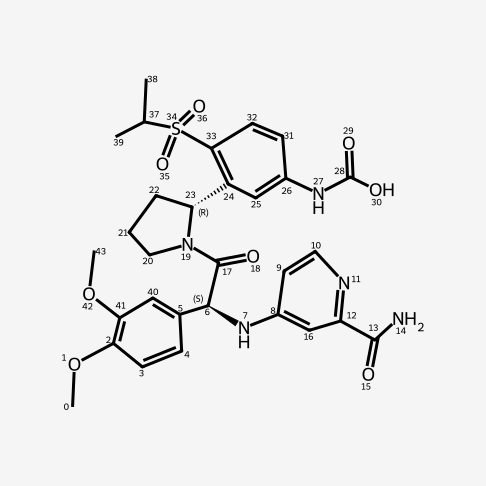 COc1ccc([C@H](Nc2ccnc(C(N)=O)c2)C(=O)N2CCC[C@@H]2c2cc(NC(=O)O)ccc2S(=O)(=O)C(C)C)cc1OC